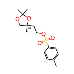 Cc1ccc(S(=O)(=O)OCC[C@]2(C)COC(C)(C)O2)cc1